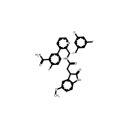 COc1ccc2c(c1)C(CC(=O)N[C@@H](Cc1cc(F)cc(F)c1)c1ncccc1-c1ccc(F)c(C(N)=O)c1)C(=O)N2